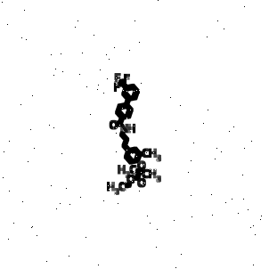 CCOC(=O)C(C)(C)Oc1ccc(CCCNC(=O)c2ccc(-c3cccc(C(F)(F)F)c3)cc2)cc1C